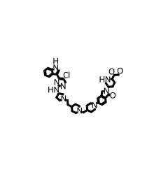 O=CC(=O)C1CCC(N2Cc3cc(N4CCC(CN5CCC(CCN6CCC(Nc7ncc(Cl)c(-c8c[nH]c9ccccc89)n7)C6)CC5)CC4)ccc3C2=O)CN1